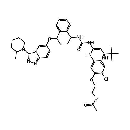 C[C@H]1CCCCN1c1nnc2ccc(O[C@@H]3CCC(NC(=O)N/C(=C/C(=N)C(C)(C)C)Nc4ccc(Cl)c(OCCOS(C)=O)c4)c4ccccc43)cn12